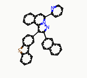 c1ccc(-c2cc3ccccc3c3c(-c4ccc5sc6ccccc6c5c4)c(-c4ccc5ccccc5c4)nn23)nc1